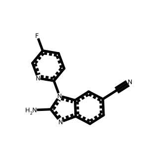 N#Cc1ccc2nc(N)n(-c3ccc(F)cn3)c2c1